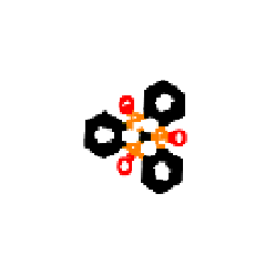 O=P(c1ccccc1)(c1ccccc1)C(P(=O)(c1ccccc1)c1ccccc1)P(=O)(c1ccccc1)c1ccccc1